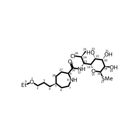 CCOCCC[C@@H]1CCNC(C(=O)N[C@@H]([C@H]2O[C@H](SC)[C@H](O)[C@@H](O)[C@H]2O)[C@H](C)Cl)CC1